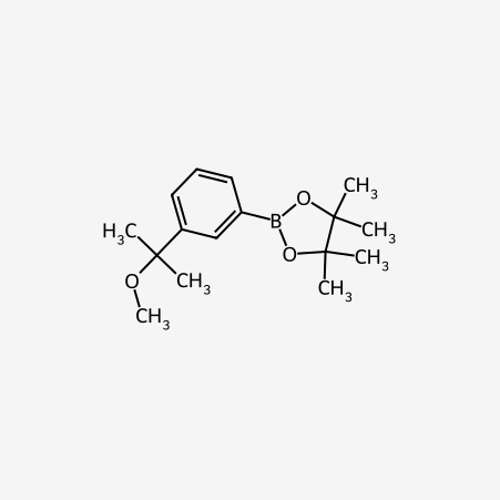 COC(C)(C)c1cccc(B2OC(C)(C)C(C)(C)O2)c1